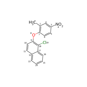 Cc1cc([N+](=O)[O-])ccc1Oc1ccc2ccccc2c1Cl